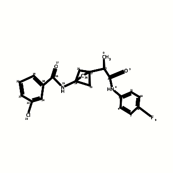 CC(C(=O)Nc1ccc(F)cc1)C12CC(NC(=O)c3cccc(Cl)c3)(C1)C2